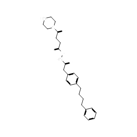 O=C(Cc1ccc(CCCCc2ccccc2)cc1)NOC(=O)CCC(=O)N1CCNCC1